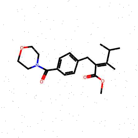 COC(=O)/C(Cc1ccc(C(=O)N2CCOCC2)cc1)=C(\C)C(C)C